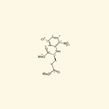 COC(=O)CC[C@H](Nc1nc(Cl)ccc1[N+](=O)[O-])C(=O)OC